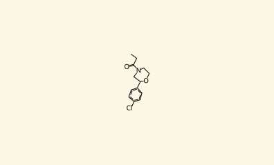 CCC(=O)N1CCOC(c2ccc(Cl)cc2)C1